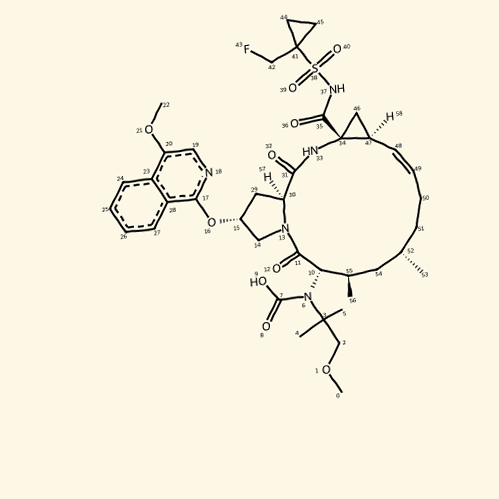 COCC(C)(C)N(C(=O)O)[C@@H]1C(=O)N2C[C@H](Oc3ncc(OC)c4ccccc34)C[C@H]2C(=O)N[C@]2(C(=O)NS(=O)(=O)C3(CF)CC3)C[C@H]2C=CCC[C@H](C)C[C@H]1C